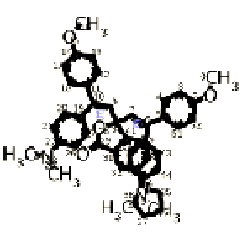 COc1ccc(/C(=C/C2(/C=C(/c3ccc(OC)cc3)c3ccc(N(C)C)cc3)OC(=O)c3cc(N4CCCC4)ccc32)c2ccc(N(C)C)cc2)cc1